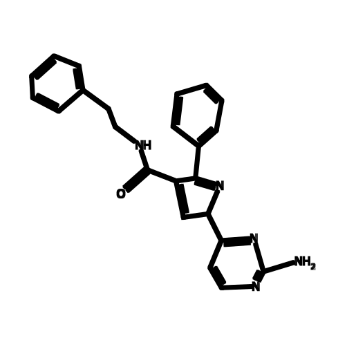 Nc1nccc(C2C=C(C(=O)NCCc3ccccc3)C(c3ccccc3)=N2)n1